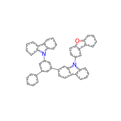 c1ccc(-c2cc(-c3ccc4c5ccccc5n(-c5ccc6oc7ccccc7c6c5)c4c3)cc(-n3c4ccccc4c4ccccc43)c2)cc1